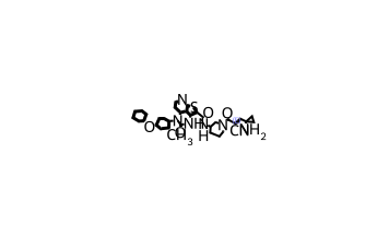 Cc1cc(Oc2ccccc2)ccc1N1C(=O)Nc2c(C(=O)NC3CCCN(C(=O)/C(C#N)=C/C4(N)CC4)C3)sc3nccc1c23